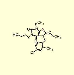 CCOC1Nc2c(c(=O)n(CCCO)c(=O)n2CC)N1Cc1ccc(Cl)cc1C